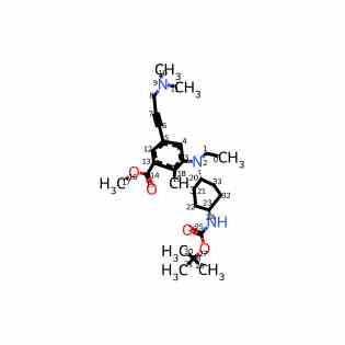 CCN(c1cc(C#CCN(C)C)cc(C(=O)OC)c1C)[C@H]1CC[C@H](NC(=O)OC(C)(C)C)CC1